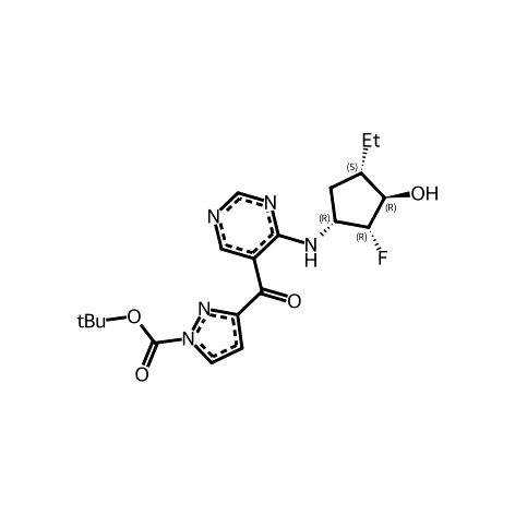 CC[C@H]1C[C@@H](Nc2ncncc2C(=O)c2ccn(C(=O)OC(C)(C)C)n2)[C@@H](F)[C@@H]1O